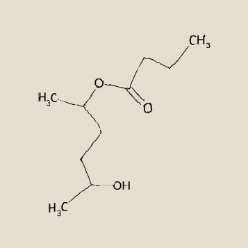 CCCC(=O)OC(C)CCC(C)O